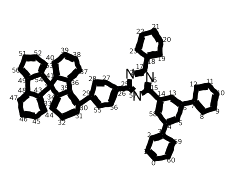 c1ccc(-c2cc(-c3ccccc3)cc(-c3nc(-c4ccccc4)nc(-c4ccc(-c5cccc6c5-c5ccccc5C65c6ccccc6-c6ccccc65)cc4)n3)c2)cc1